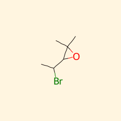 CC(Br)C1OC1(C)C